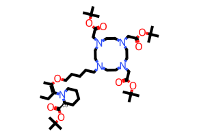 CCC(=C(C)OCCCCCN1CCN(CC(=O)OC(C)(C)C)CCN(CC(=O)OC(C)(C)C)CCN(CC(=O)OC(C)(C)C)CC1)N1CCCC[C@H]1C(=O)OC(C)(C)C